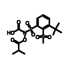 CC(C)C(=O)ON(C(=O)O)S(=O)(=O)c1cccc(C(C)(C)C)c1S(C)(=O)=O